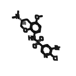 COc1ccc(NS(=O)(=O)c2cnc(Cl)c(Br)c2)c2c1C[C@@H](N(C)C)CO2